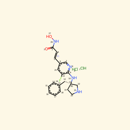 Cl.Cl.O=C(/C=C/c1cnc(N[C@]2(Cc3ccccc3)CCNC2)c(F)c1)NO